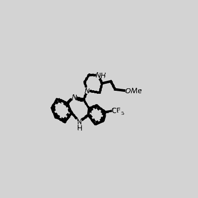 COCCC1CN(C2=Nc3ccccc3Nc3ccc(C(F)(F)F)cc32)CCN1